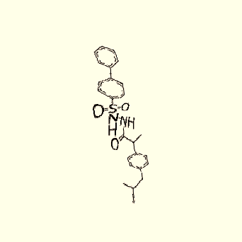 CC(C)Cc1ccc(C(C)C(=O)NNS(=O)(=O)c2ccc(-c3ccccc3)cc2)cc1